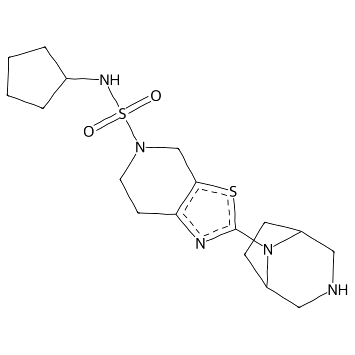 O=S(=O)(NC1CCCC1)N1CCc2nc(N3C4CCC3CNC4)sc2C1